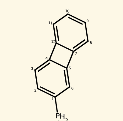 Pc1ccc2c(c1)-c1ccccc1-2